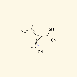 C/C(C#N)=C1/C(=C(\C)C#N)C1C(S)C#N